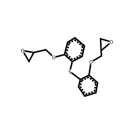 c1ccc(Sc2ccccc2OCC2CO2)c(OCC2CO2)c1